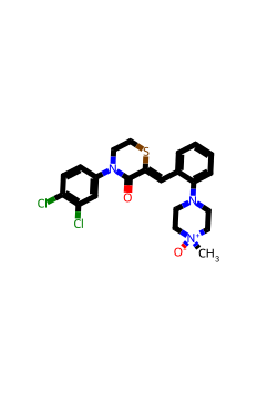 C[N+]1([O-])CCN(c2ccccc2/C=C2\SCCN(c3ccc(Cl)c(Cl)c3)C2=O)CC1